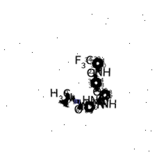 CN(C/C=C/C(=O)N1CCC[C@@H](Nc2n[nH]c3cccc(Oc4ccc(C(=O)Nc5cccc(C(F)(F)F)c5)cc4)c23)C1)C1CC1